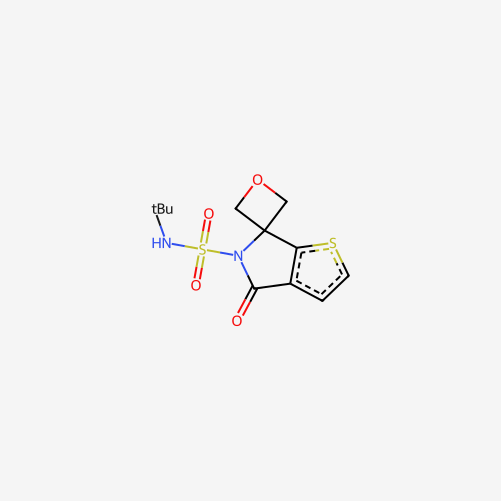 CC(C)(C)NS(=O)(=O)N1C(=O)c2ccsc2C12COC2